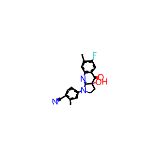 Cc1cc2c(cc1F)C(=O)[C@]1(O)CCN(c3ccc(C#N)c(C)c3)C1=N2